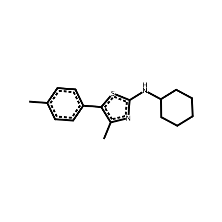 Cc1ccc(-c2sc(NC3CCCCC3)nc2C)cc1